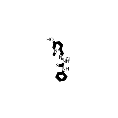 C[n+]1cc(O)ccc1C=NNC(=S)Nc1ccccc1.[Cl-]